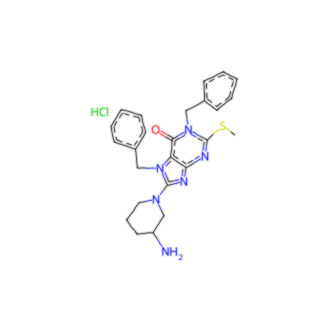 CSc1nc2nc(N3CCCC(N)C3)n(Cc3ccccc3)c2c(=O)n1Cc1ccccc1.Cl